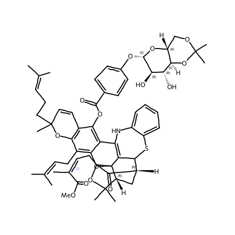 COC(=O)/C(C)=C\CC12OC(C)(C)[C@H]3C[C@H](C1=O)C1Sc4ccccc4NC4=C1C32Oc1c(CC=C(C)C)c2c(c(OC(=O)c3ccc(O[C@@H]5O[C@@H]6COC(C)(C)O[C@H]6[C@H](O)[C@H]5O)cc3)c14)C=CC(C)(CCC=C(C)C)O2